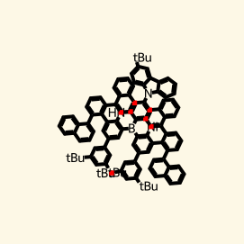 CC(C)(C)c1cc(-c2cc3c(c(-c4c(-c5cccc6ccccc56)cccc4-c4cccc5ccccc45)c2)Nc2cc(-n4c5ccccc5c5cc(C(C)(C)C)ccc54)cc4c2B3c2cc(-c3cc(C(C)(C)C)cc(C(C)(C)C)c3)cc(-c3c(-c5cccc6ccccc56)cccc3-c3cccc5ccccc35)c2N4)cc(C(C)(C)C)c1